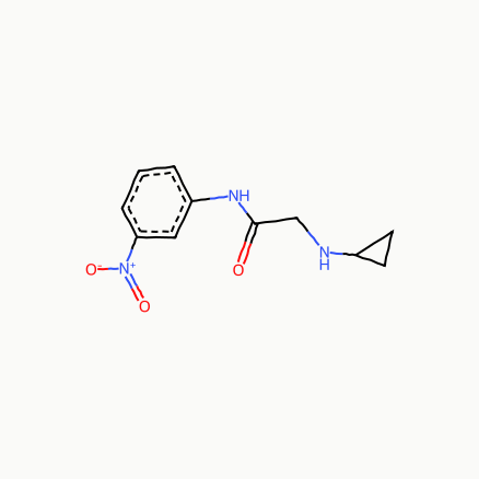 O=C(CNC1CC1)Nc1cccc([N+](=O)[O-])c1